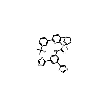 O=C(Nc1cc(-c2cnco2)cc(-c2cnco2)c1)N1c2nc(-c3cccc(C(F)(F)F)c3)ccc2N2CC[C@H]1C2